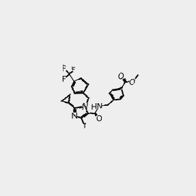 COC(=O)c1ccc(CNC(=O)c2c(I)nc(C3CC3)n2Cc2ccc(C(F)(F)F)cc2)cc1